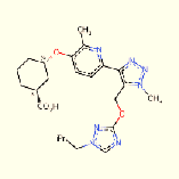 Cc1nc(-c2nnn(C)c2COc2ncn(CC(C)C)n2)ccc1O[C@H]1CCC[C@H](C(=O)O)C1